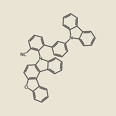 N#Cc1cccc(-c2cccc(-n3c4ccccc4c4ccccc43)c2)c1-n1c2ccccc2c2c3c(ccc21)oc1ccccc13